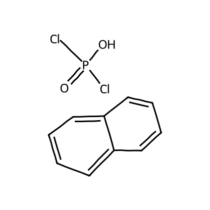 O=P(O)(Cl)Cl.c1ccc2ccccc2c1